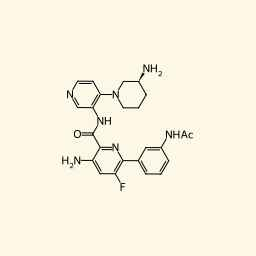 CC(=O)Nc1cccc(-c2nc(C(=O)Nc3cnccc3N3CCC[C@H](N)C3)c(N)cc2F)c1